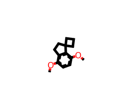 COc1ccc(OC)c2c1CCC21CCC1